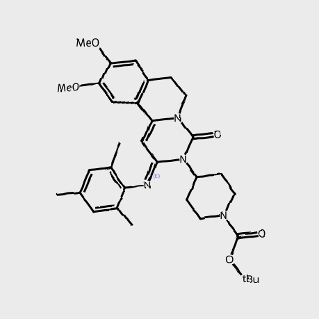 COc1cc2c(cc1OC)-c1c/c(=N\c3c(C)cc(C)cc3C)n(C3CCN(C(=O)OC(C)(C)C)CC3)c(=O)n1CC2